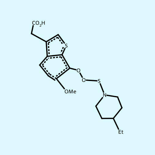 CCC1CCN(SOOc2c(OC)ccc3c(CC(=O)O)csc23)CC1